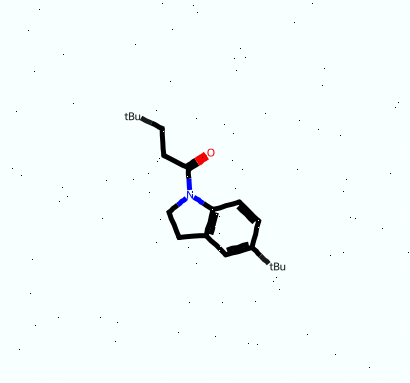 CC(C)(C)CCC(=O)N1CCc2cc(C(C)(C)C)ccc21